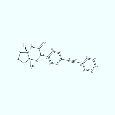 C[C@]12CCC[C@@H]1OC(=O)N(c1ccc(C#Cc3ccccc3)cn1)C2